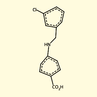 O=C(O)c1ccc(NCc2cccc(Cl)c2)cc1